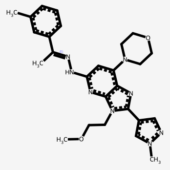 COCCn1c(-c2cnn(C)c2)nc2c(N3CCOCC3)cc(N/N=C(\C)c3cccc(C)c3)nc21